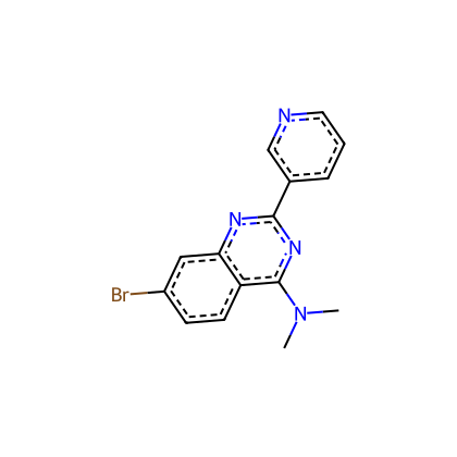 CN(C)c1nc(-c2cccnc2)nc2cc(Br)ccc12